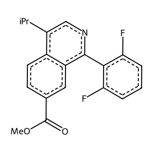 COC(=O)c1ccc2c(C(C)C)cnc(-c3c(F)cccc3F)c2c1